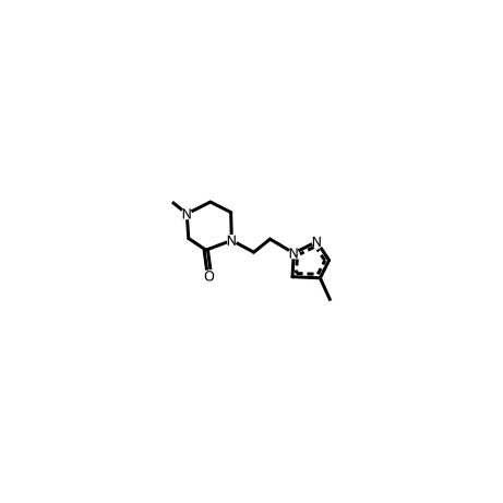 Cc1cnn(CCN2CCN(C)CC2=O)c1